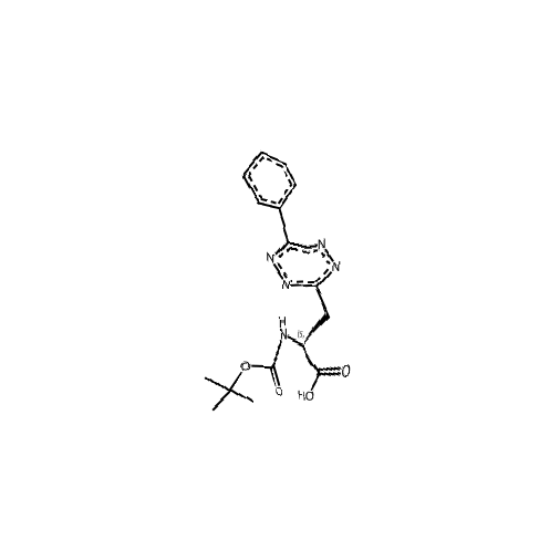 CC(C)(C)OC(=O)N[C@@H](Cc1nnc(-c2ccccc2)nn1)C(=O)O